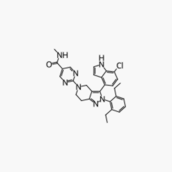 CCc1cccc(CC)c1-n1nc2c(c1-c1ccc(Cl)c3[nH]ccc13)CN(c1ncc(C(=O)NC)cn1)CC2